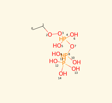 CCOO[PH](O)(O)O[PH](O)(O)[PH](O)(O)O